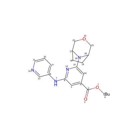 CC(C)(C)OC(=O)c1cc(Nc2cccnc2)nc(N2C3CCC2COC3)c1